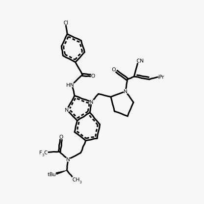 CC(C)/C=C(\C#N)C(=O)N1CCCC1Cn1c(NC(=O)c2ccc(Cl)cc2)nc2cc(CN(C(=O)C(F)(F)F)[C@@H](C)C(C)(C)C)ccc21